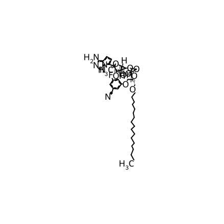 CCCCCCCCCCCCCCCCCCOC[C@H](COc1cc(F)cc(C#N)c1)OP(=O)(O)OC1[C@H]2O[C@@](C)(c3ccc4c(N)ncnn34)[C@H](O)[C@@]12O